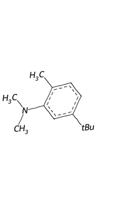 Cc1ccc(C(C)(C)C)cc1N(C)C